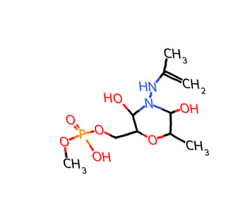 C=C(C)NN1C(O)C(C)OC(COP(=O)(O)OC)C1O